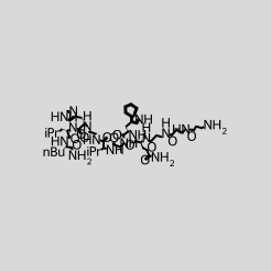 CCCC[C@H](NC(=O)[C@H](CC(C)C)NC(=O)[C@H](Cc1c[nH]cn1)NC(=O)CNC(=O)C(NC(=O)[C@H](C)NC(=O)[C@H](Cc1c[nH]c2ccccc12)NC(=O)[C@H](CCC(N)=O)NC(=O)CCNC(=O)CCNC(=O)CCN)C(C)C)C(N)=O